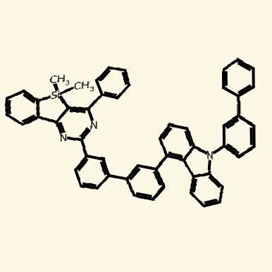 C[Si]1(C)c2ccccc2-c2nc(-c3cccc(-c4cccc(-c5cccc6c5c5ccccc5n6-c5cccc(-c6ccccc6)c5)c4)c3)nc(-c3ccccc3)c21